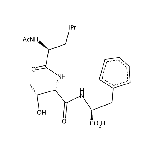 CC(=O)N[C@@H](CC(C)C)C(=O)N[C@H](C(=O)N[C@@H](Cc1ccccc1)C(=O)O)[C@@H](C)O